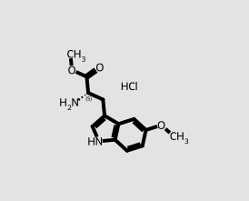 COC(=O)[C@@H](N)Cc1c[nH]c2ccc(OC)cc12.Cl